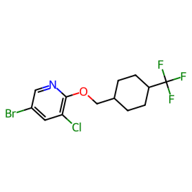 FC(F)(F)C1CCC(COc2ncc(Br)cc2Cl)CC1